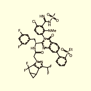 CCS(=O)(=O)c1ccccc1-c1ccc2c(=O)n(-c3ccc(Cl)c(C(=N)NS(C)(=O)=O)c3NC)c([C@H](Cc3cc(F)cc(F)c3)NC(=O)Cn3nc(C(F)F)c4c3C(F)(F)C3CC43)nc2c1